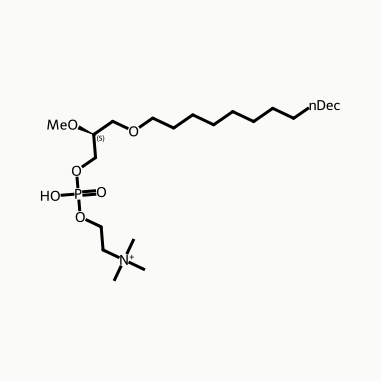 CCCCCCCCCCCCCCCCCCOC[C@@H](COP(=O)(O)OCC[N+](C)(C)C)OC